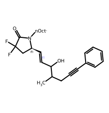 C[CH]CCCCC[CH]N1C(=O)C(F)(F)C[C@@H]1/C=C/C(O)C(C)CC#Cc1ccccc1